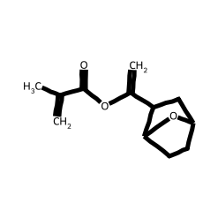 C=C(C)C(=O)OC(=C)C1CC2CCC1O2